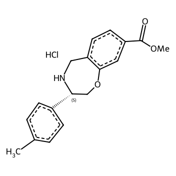 COC(=O)c1ccc2c(c1)OC[C@H](c1ccc(C)cc1)NC2.Cl